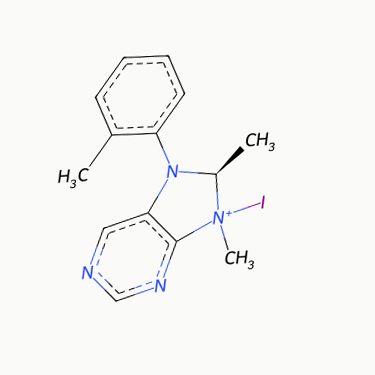 Cc1ccccc1N1c2cncnc2[N+](C)(I)[C@@H]1C